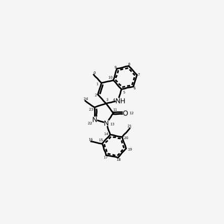 CC1=CC2(Nc3ccccc31)C(=O)N(c1c(C)cccc1C)N=C2C